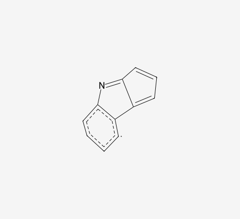 [c]1cccc2c1C1=CC=CC1=N2